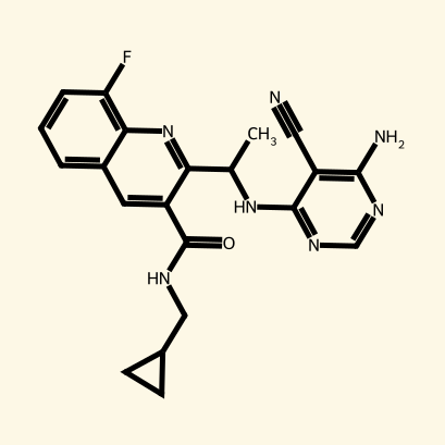 CC(Nc1ncnc(N)c1C#N)c1nc2c(F)cccc2cc1C(=O)NCC1CC1